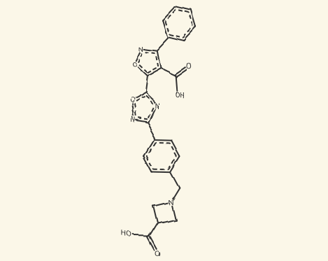 O=C(O)c1c(-c2ccccc2)noc1-c1nc(-c2ccc(CN3CC(C(=O)O)C3)cc2)no1